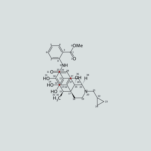 COC(=O)c1ccccc1NC(=O)C1=C(O)[C@H](C)[C@]23CCN(CC4CC4)[C@H](Cc4ccc(O)c(O)c42)[C@]3(O)C1